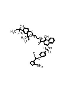 CCC(C)(C)c1ccc(OCCCNC(=O)c2cc(NS(=O)(=O)c3ccc(OC(=C=O)C4=C(N)CCC4)cc3)c3ccccc3c2O)c(C(C)(C)CC)c1